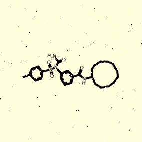 Cc1ccc(S(=O)(=O)N(C(N)=O)c2cccc(C(=O)NC3CCCCCCCCCCC3)c2)cc1